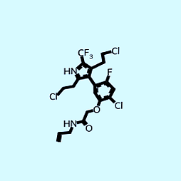 C=CCNC(=O)COc1cc(-c2c(CCCl)[nH]c(C(F)(F)F)c2CCCl)c(F)cc1Cl